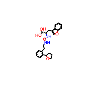 OB(O)C(Cc1coc2ccccc12)NONCCc1ccccc1C1CCCO1